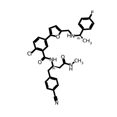 CNC(=O)C[C@@H](Cc1ccc(C#N)cc1)NC(=O)c1cc(-c2ccc(CN[C@H](C)c3ccc(F)cc3)o2)ccc1Cl